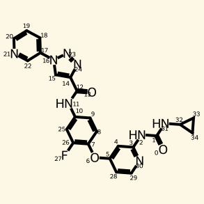 O=C(Nc1cc(Oc2ccc(NC(=O)c3cn(-c4cccnc4)nn3)cc2F)ccn1)NC1CC1